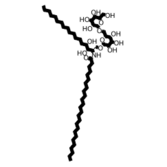 CCCCCCCCCCCCCCCCCCCCCCCCCC(=O)N[C@@H](COC1OC(COC2OC(CO)C(O)C(O)C2O)C(O)C(O)C1O)[C@H](O)[C@H](O)CCCCCCCCCCCCCC